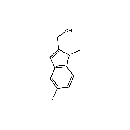 Cn1c(CO)cc2cc(F)ccc21